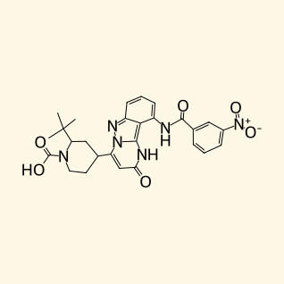 CC(C)(C)C1CC(c2cc(=O)[nH]c3c4c(NC(=O)c5cccc([N+](=O)[O-])c5)cccc4nn23)CCN1C(=O)O